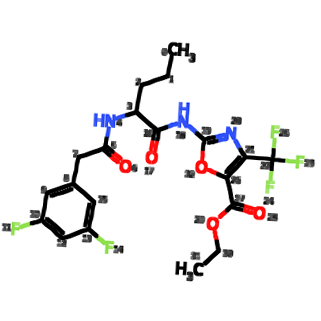 CCCC(NC(=O)Cc1cc(F)cc(F)c1)C(=O)Nc1nc(C(F)(F)F)c(C(=O)OCC)o1